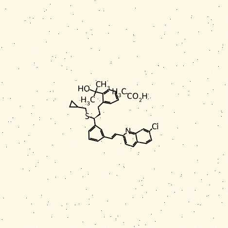 CC(=O)O.CC(C)(O)c1ccccc1CC[C@H](SCC1CC1)c1cccc(/C=C/c2ccc3ccc(Cl)cc3n2)c1